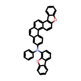 c1ccc(N(c2ccc3c(ccc4ccc5c(ccc6oc7ccccc7c65)c43)c2)c2cccc3c2oc2ccccc23)cc1